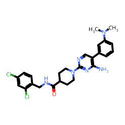 CN(C)c1cccc(-c2cnc(N3CCC(C(=O)NCc4ccc(Cl)cc4Cl)CC3)nc2N)c1